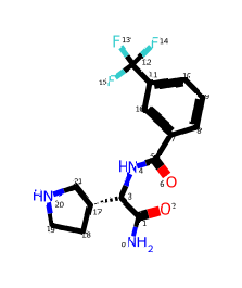 NC(=O)C(NC(=O)c1cccc(C(F)(F)F)c1)[C@@H]1CCNC1